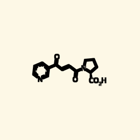 O=C(C=CC(=O)N1CCC[C@H]1C(=O)O)c1cccnc1